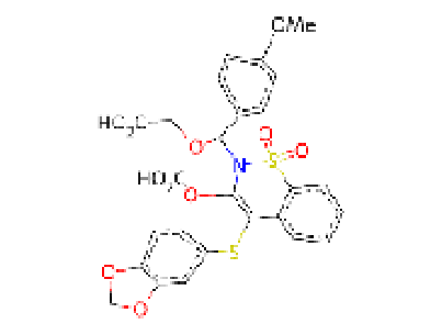 COc1ccc(C(OCC(=O)O)N2C(OC(=O)O)=C(Sc3ccc4c(c3)OCO4)c3ccccc3S2(=O)=O)cc1